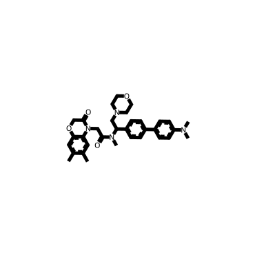 Cc1cc2c(cc1C)N(CC(=O)N(C)C(CN1CCOCC1)c1ccc(-c3ccc(N(C)C)cc3)cc1)C(=O)CO2